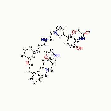 O=C1COc2c(CCN(CCNCCCC3CCCC(OCCc4cccc(CN5CCC6(CC5)CNCCO6)c4)C3)C(=O)O)ccc(O)c2N1